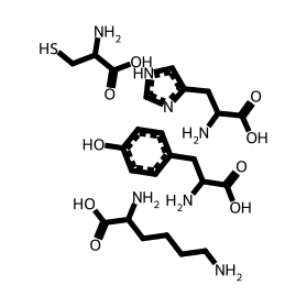 NC(CS)C(=O)O.NC(Cc1c[nH]cn1)C(=O)O.NC(Cc1ccc(O)cc1)C(=O)O.NCCCCC(N)C(=O)O